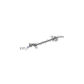 CCOC(=O)/C(C)=C/c1cc(F)c(Oc2ccc(S(=O)(=O)NCCOCCOCCOCCOCCOCCOCCNC(=O)[C@H](O)[C@@H](O)C(=O)NCCOC)cc2)c(F)c1